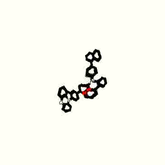 c1ccc(-c2ccccc2N(c2ccc(-c3ccc4c(c3)c3cccc5c3n4-c3ccccc3O5)cc2)c2ccc(-c3cccc4ccccc34)cc2)cc1